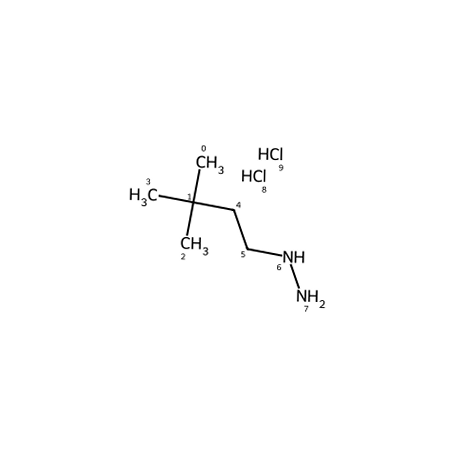 CC(C)(C)CCNN.Cl.Cl